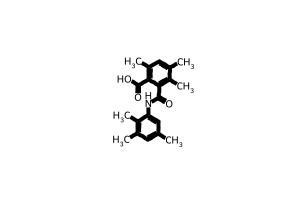 Cc1cc(C)c(C)c(NC(=O)c2c(C)c(C)cc(C)c2C(=O)O)c1